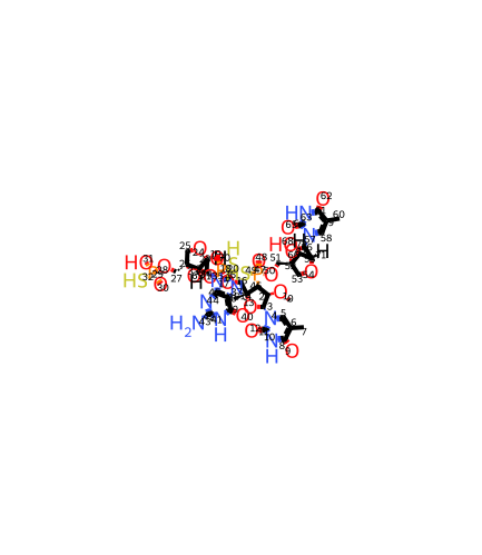 CO[C@H]1[C@H](n2cc(C)c(=O)[nH]c2=O)O[C@](C)(COP(=O)(S)O[C@H]2[C@H]3OC[C@]2(COP(=O)(O)S)O[C@H]3n2cnc3c(=O)[nH]c(N)nc32)[C@H]1P(=O)(S)OC[C@@]12CO[C@@H]([C@H](n3cc(C)c(=O)[nH]c3=O)O1)[C@@H]2O